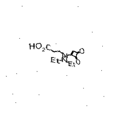 CCN(CC)N(CCC(=O)O)c1cc(=O)c1=O